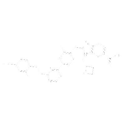 Cc1ccc(COc2nccc(-c3ccc(Cc4nc5ccc(C(=O)O)cc5n4C[C@@H]4CCO4)c(F)c3)n2)c(F)c1